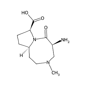 CN1CC[C@H]2CC[C@@H](C(=O)O)N2C(=O)[C@@H](N)C1